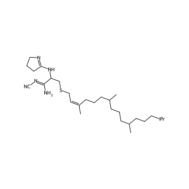 CC(=CCSCC(NC1=NCCC1)C(N)=NC#N)CCCC(C)CCCC(C)CCCC(C)C